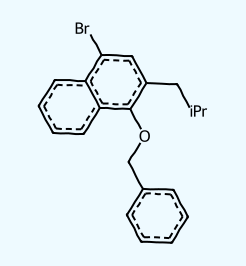 CC(C)Cc1cc(Br)c2ccccc2c1OCc1ccccc1